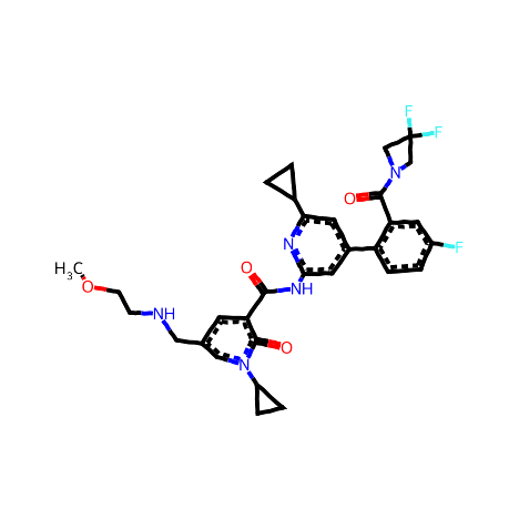 COCCNCc1cc(C(=O)Nc2cc(-c3ccc(F)cc3C(=O)N3CC(F)(F)C3)cc(C3CC3)n2)c(=O)n(C2CC2)c1